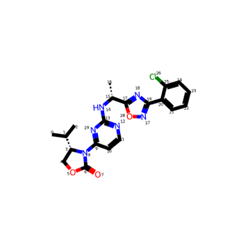 CC(C)[C@H]1COC(=O)N1c1ccnc(N[C@H](C)c2nc(-c3ccccc3Cl)no2)n1